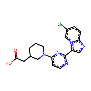 O=C(O)CC1CCCN(c2ccnc(-c3cnc4ccc(Cl)cn34)n2)C1